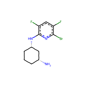 N[C@@H]1CCC[C@H](Nc2nc(Br)c(F)cc2F)C1